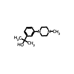 CN1CCN(c2[c]ccc(C(C)(C)O)c2)CC1